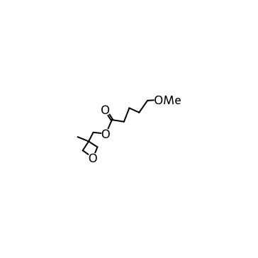 COCCCCC(=O)OCC1(C)COC1